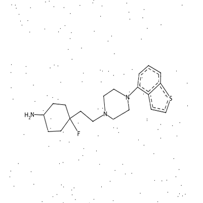 NC1CCC(F)(CCN2CCN(c3cccc4sccc34)CC2)CC1